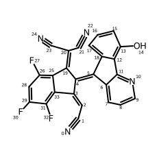 N#C/C=C1/C(=C2\c3cccnc3-c3c(O)cccc32)C(=C(C#N)C#N)c2c(F)cc(F)c(F)c21